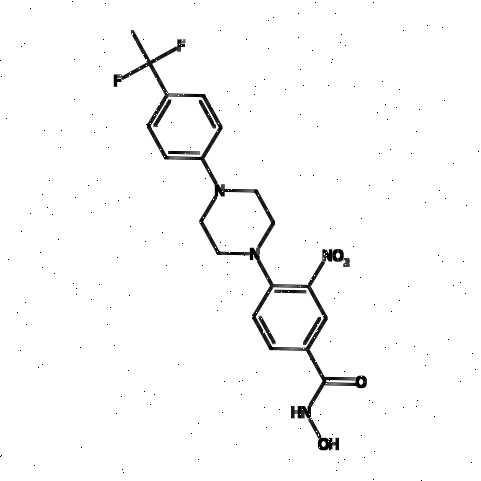 CC(F)(F)c1ccc(N2CCN(c3ccc(C(=O)NO)cc3[N+](=O)[O-])CC2)cc1